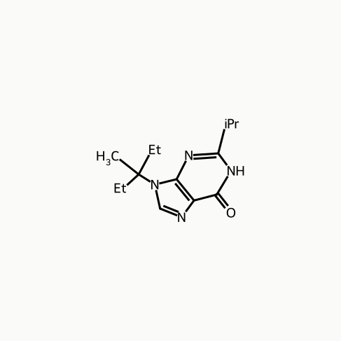 CCC(C)(CC)n1cnc2c(=O)[nH]c(C(C)C)nc21